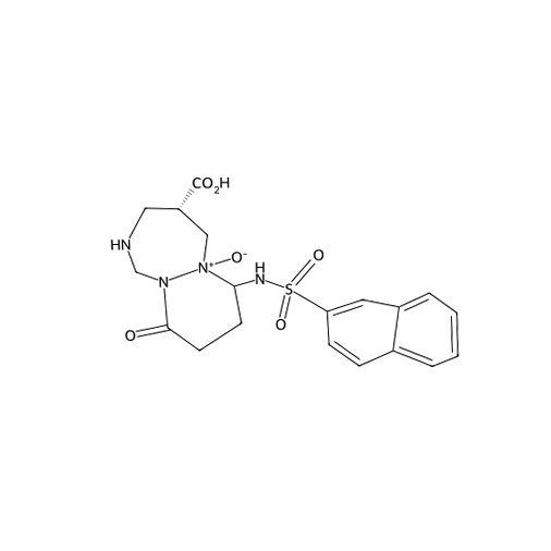 O=C(O)[C@H]1CNCN2C(=O)CCC(NS(=O)(=O)c3ccc4ccccc4c3)[N+]2([O-])C1